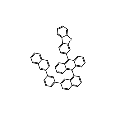 c1cc(-c2ccc3ccccc3c2)cc(-c2ccc3cccc(-c4c5ccccc5c(-c5ccc6c(c5)oc5ccccc56)c5ccccc45)c3c2)c1